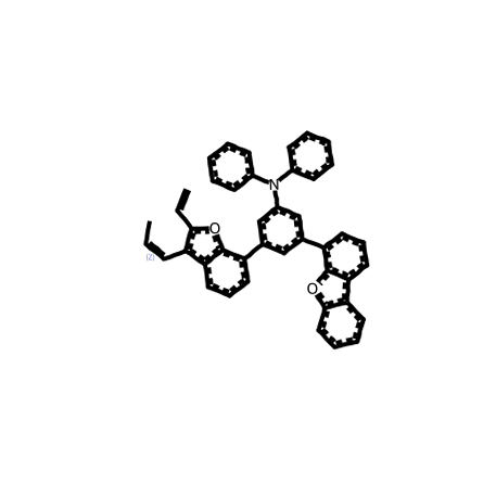 C=Cc1oc2c(-c3cc(-c4cccc5c4oc4ccccc45)cc(N(c4ccccc4)c4ccccc4)c3)cccc2c1/C=C\C